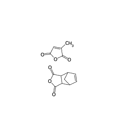 CC1=CC(=O)OC1=O.O=C1OC(=O)C2C3C=CC(C3)C12